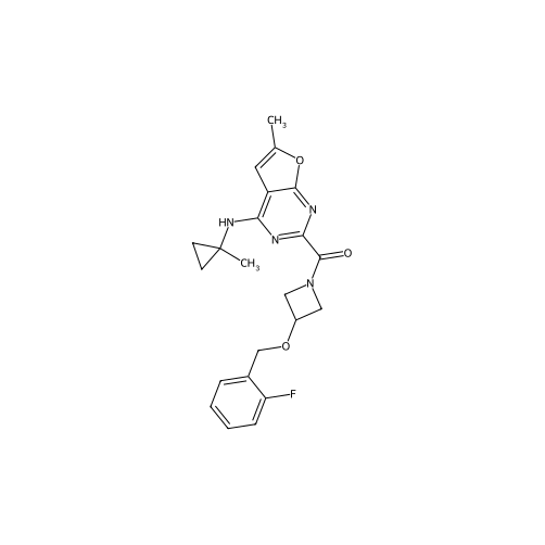 Cc1cc2c(NC3(C)CC3)nc(C(=O)N3CC(OCc4ccccc4F)C3)nc2o1